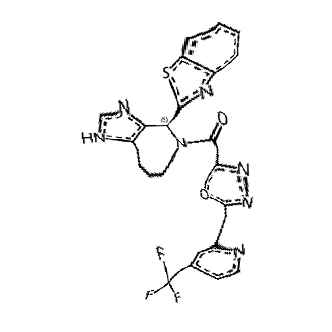 O=C(c1nnc(-c2cc(C(F)(F)F)ccn2)o1)N1CCc2[nH]cnc2[C@H]1c1nc2ccccc2s1